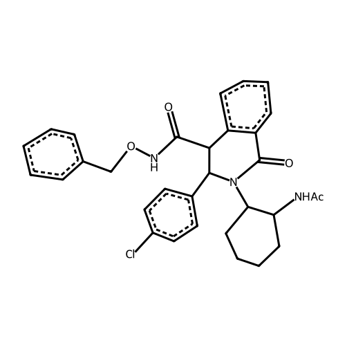 CC(=O)NC1CCCCC1N1C(=O)c2ccccc2C(C(=O)NOCc2ccccc2)C1c1ccc(Cl)cc1